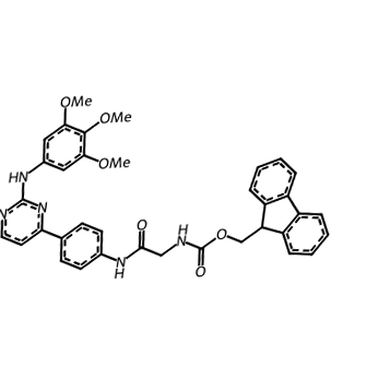 COc1cc(Nc2nccc(-c3ccc(NC(=O)CNC(=O)OCC4c5ccccc5-c5ccccc54)cc3)n2)cc(OC)c1OC